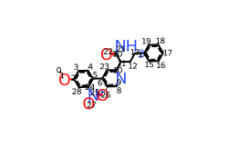 COc1ccc(-c2ccnc(C(CCc3ccccc3)C(N)=O)c2)c([N+](=O)[O-])c1